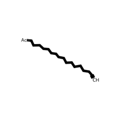 C#CCCCCCCCCCCCCCCCC(C)=O